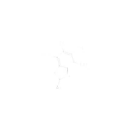 Bc1c(B)c(B)c2oc(C(C)=O)cc2c1B